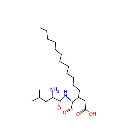 CCCCCCCCCCCCC(CC(=O)O)[C@@H]([C]=O)NC(=O)[C@@H](N)CC(C)C